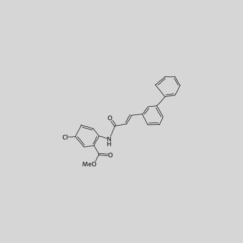 COC(=O)c1cc(Cl)ccc1NC(=O)C=Cc1cccc(-c2ccccc2)c1